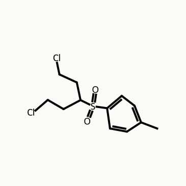 Cc1ccc(S(=O)(=O)C(CCCl)CCCl)cc1